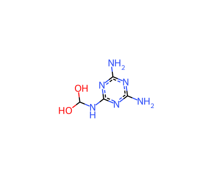 Nc1nc(N)nc(NC(O)O)n1